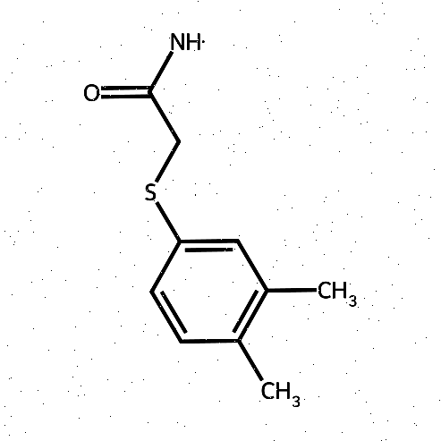 Cc1ccc(SCC([NH])=O)cc1C